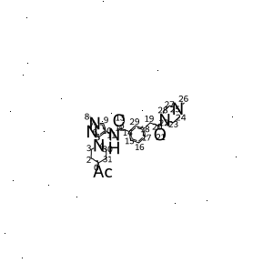 CC(=O)C1CCN(c2nn(C)cc2NC(=O)c2cccc(CC(=O)N3CCN(C)CC3)c2)CC1